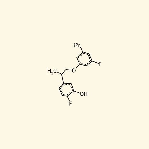 CC(C)c1cc(F)cc(OCC(C)c2ccc(F)c(O)c2)c1